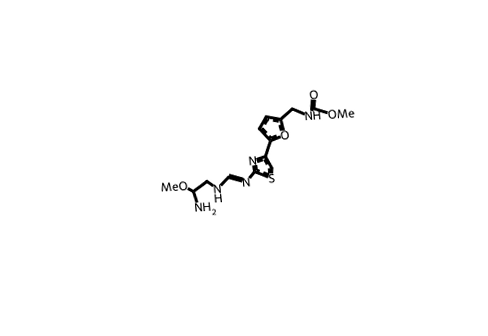 COC(=O)NCc1ccc(-c2csc(N=CNCC(N)OC)n2)o1